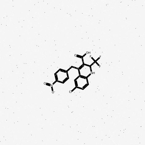 O=C(O)C1=C(Cc2ccc([N+](=O)[O-])cc2)c2cc(Cl)ccc2NC1C(F)(F)F